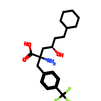 N[C@](Cc1ccc(C(F)(F)F)cc1)(C[C@@H](O)CCC1CCCCC1)C(=O)O